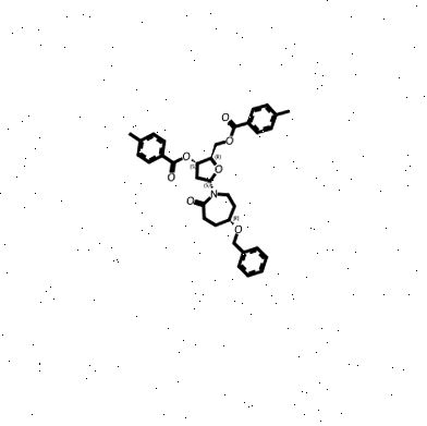 Cc1ccc(C(=O)OC[C@H]2O[C@H](N3CC[C@H](OCc4ccccc4)CCC3=O)C[C@@H]2OC(=O)c2ccc(C)cc2)cc1